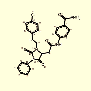 NC(=O)c1ccc(NC(=O)CC2C(=O)N(c3ccccc3)C(=S)N2CCc2ccc(Cl)cc2)cc1